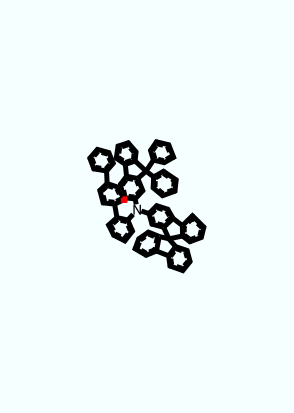 c1ccc(-c2ccc(-c3ccccc3N(c3ccc4c(c3)C(c3ccccc3)(c3ccccc3)c3ccccc3-4)c3ccc4c(c3)C3(c5ccccc5-c5ccccc53)c3ccccc3-4)cc2)cc1